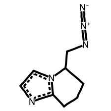 [N-]=[N+]=NCC1CCCc2nccn21